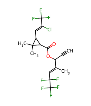 C#CC(OC(=O)C1C(C=C(Cl)C(F)(F)F)C1(C)C)C(C)=CC(F)(F)C(F)(F)F